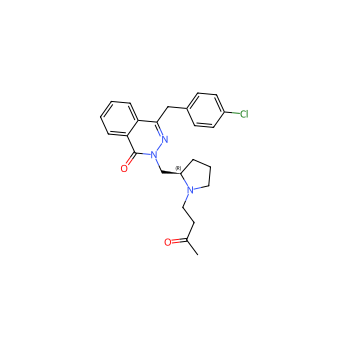 CC(=O)CCN1CCC[C@@H]1Cn1nc(Cc2ccc(Cl)cc2)c2ccccc2c1=O